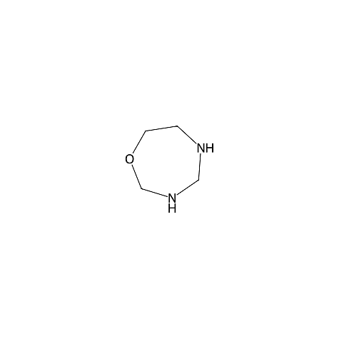 C1COCNCN1